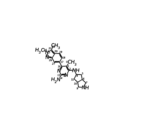 Cc1c(NC2CC3CNCC3C2)nc(N)nc1-c1ccc2c(C)n(C)nc2c1